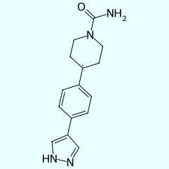 NC(=O)N1CC[C](c2ccc(-c3cn[nH]c3)cc2)CC1